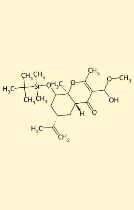 C=C(C)[C@@H]1CC(O[Si](C)(C)C(C)(C)C)[C@@]2(C)OC(C)=C(C(O)OC)C(=O)[C@@H]2C1